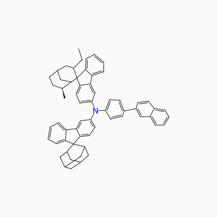 CCC1CC2CC[C@H](C)C(C2)C12c1ccccc1-c1cc(N(c3ccc(-c4ccc5ccccc5c4)cc3)c3ccc4c(c3)-c3ccccc3C43C4CC5CC(C4)CC3C5)ccc12